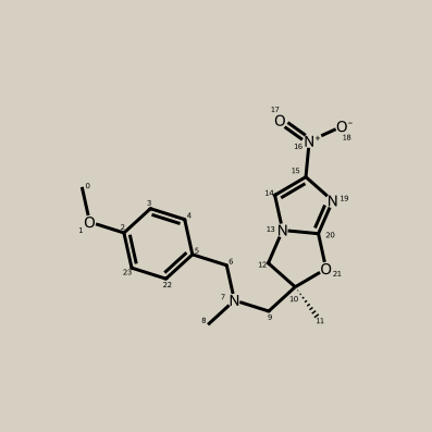 COc1ccc(CN(C)C[C@@]2(C)Cn3cc([N+](=O)[O-])nc3O2)cc1